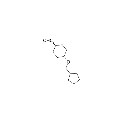 O=C[C@H]1CC[C@H](OCC2CCCC2)CC1